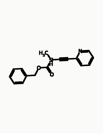 C[SiH](C#Cc1ccccn1)C(=O)OCc1ccccc1